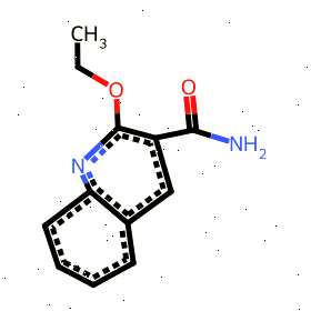 CCOc1nc2ccccc2cc1C(N)=O